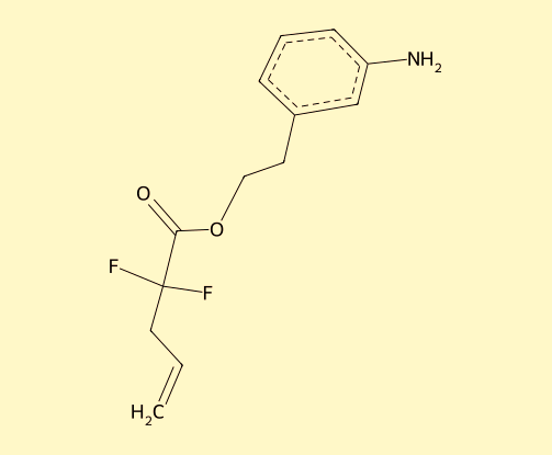 C=CCC(F)(F)C(=O)OCCc1cccc(N)c1